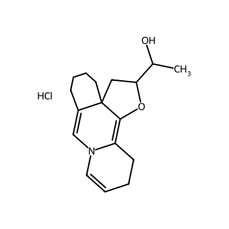 CC(O)C1CC23CCCCC2=CN2C=CCCC2=C3O1.Cl